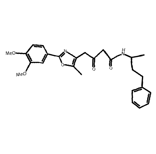 COc1ccc(-c2nc(CC(=O)CC(=O)NC(C)CCc3ccccc3)c(C)o2)cc1OC